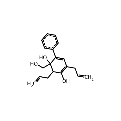 C=CCC1=C(O)C(CC=C)C(O)(CO)C(c2ccccc2)=C1